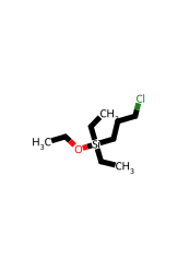 CCO[Si](CC)(CC)CCCCl